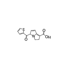 O=C(O)C1=C2C=CC(C(=O)c3cccs3)N2CC1